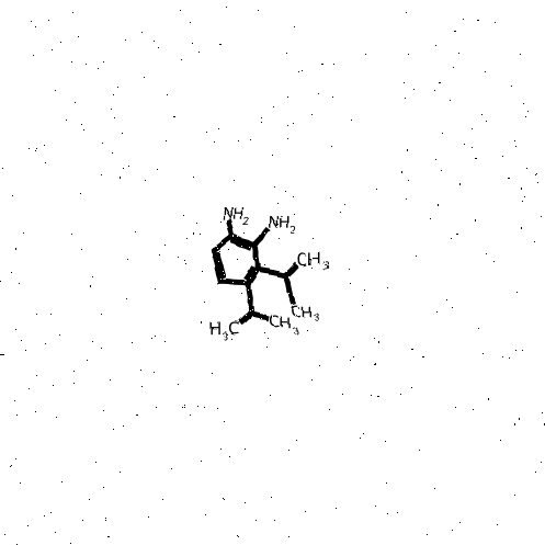 CC(C)c1ccc(N)c(N)c1C(C)C